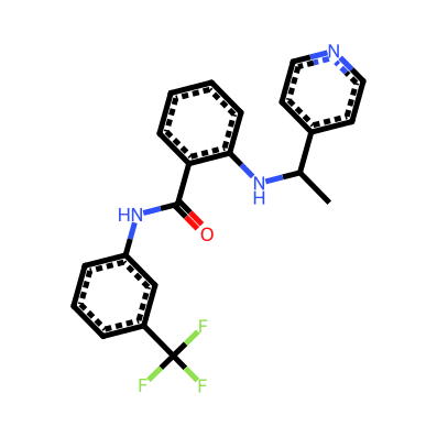 CC(Nc1ccccc1C(=O)Nc1cccc(C(F)(F)F)c1)c1ccncc1